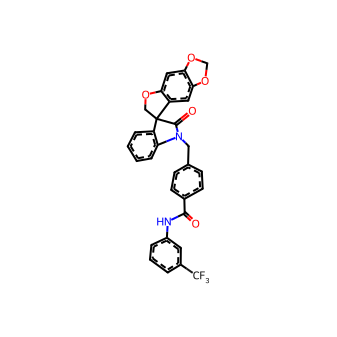 O=C(Nc1cccc(C(F)(F)F)c1)c1ccc(CN2C(=O)C3(COc4cc5c(cc43)OCO5)c3ccccc32)cc1